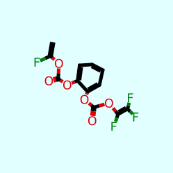 C=C(F)OC(=O)Oc1ccccc1OC(=O)OC(F)=C(F)F